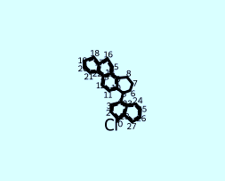 Clc1ccc(C2CCCc3c2ccc2c3ccc3ccccc32)c2ccccc12